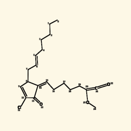 CCCCCC=CCC1C=C(Cl)C(=O)C1=CCCCCC(=C=O)OC